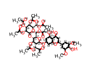 COc1cc(-c2cc(=O)c3c(O)cc(OC4O[C@H](COC(C)=O)[C@@H](OC5O[C@H](COC(C)=O)[C@@H](OC(C)=O)[C@H](OC(C)=O)[C@H]5OC(C)=O)[C@H](OC(C)=O)[C@H]4CC(C)=O)cc3o2)cc(OC)c1O